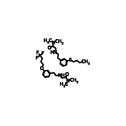 CCCCSc1cccc(CCNCC(=O)N(C)C)c1.CN(C)C(=O)CNCCc1cccc(OCCCC(F)(F)F)c1